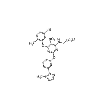 CCOC(=O)CNc1nc(Oc2cccc(-c3nccn3C)c2)nc(Oc2cc(C#N)ccc2C)c1[N+](=O)[O-]